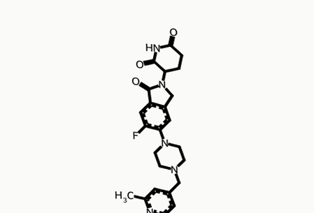 Cc1cc(CN2CCN(c3cc4c(cc3F)C(=O)N(C3CCC(=O)NC3=O)C4)CC2)ccn1